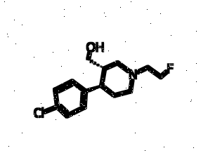 OC[C@@H]1CN(CCF)CC[C@H]1c1ccc(Cl)cc1